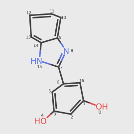 Oc1cc(O)cc(-c2nc3ccccc3[nH]2)c1